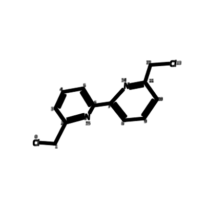 ClCc1cccc(-c2cccc(CCl)n2)n1